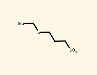 CC(C)(C)CSCCCS(=O)(=O)O